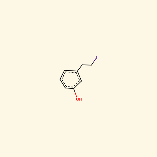 Oc1cccc(CCI)c1